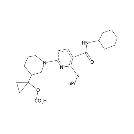 CCCSc1nc(N2CCCC(C3(OC(=O)O)CC3)C2)ccc1C(=O)NC1CCCCC1